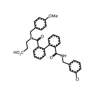 COc1ccc(CN(CCC(=O)O)C(=O)c2ccccc2-c2ccccc2C(=O)NCc2cccc(Cl)c2)cc1